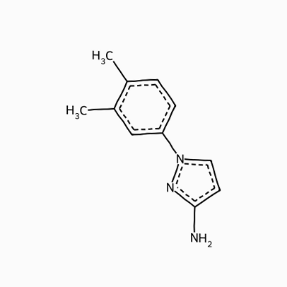 Cc1ccc(-n2ccc(N)n2)cc1C